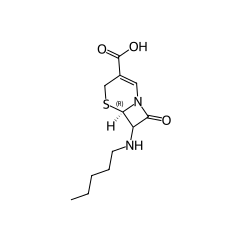 CCCCCNC1C(=O)N2C=C(C(=O)O)CS[C@H]12